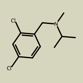 CC(C)N(C)Cc1ccc(Cl)cc1Cl